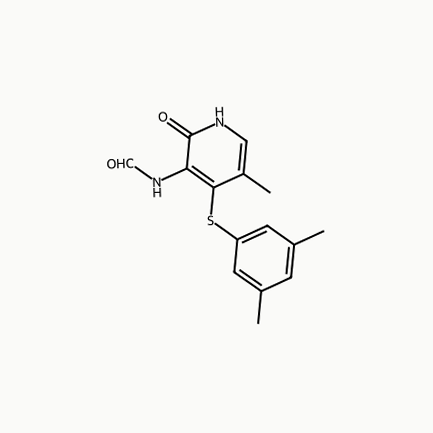 Cc1cc(C)cc(Sc2c(C)c[nH]c(=O)c2NC=O)c1